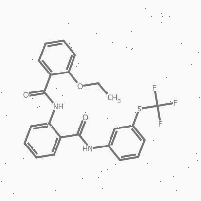 CCOc1ccccc1C(=O)Nc1ccccc1C(=O)Nc1cccc(SC(F)(F)F)c1